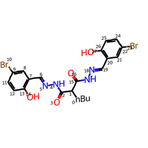 CCCCC(C(=O)NN=Cc1cc(Br)ccc1O)C(=O)NN=Cc1cc(Br)ccc1O